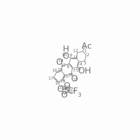 CC(=O)C1CCc2c(O)c3c(c(O)c2C1)C(=O)c1cccc(OS(=O)(=O)C(F)(F)F)c1C3=O